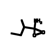 CCC(C)C1(N)OO1